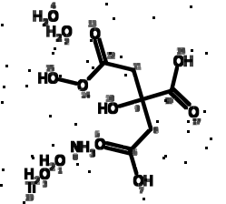 N.O.O.O.O.O=C(O)CC(O)(CC(=O)OO)C(=O)O.[Ti]